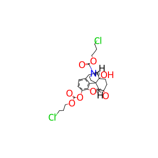 O=C(OCCCCl)Oc1ccc2c3c1O[C@H]1C(=O)CCC4(O)[C@@H](C2)N(C(=O)OCCCCl)CCC314